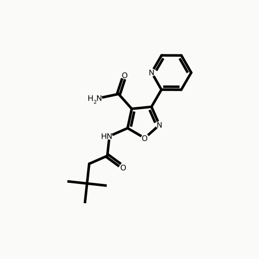 CC(C)(C)CC(=O)Nc1onc(-c2ccccn2)c1C(N)=O